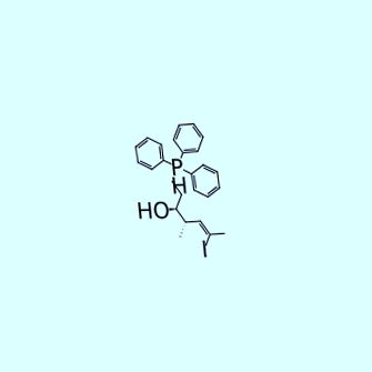 C/C(I)=C/[C@H](C)[C@@H](O)CC[PH](c1ccccc1)(c1ccccc1)c1ccccc1